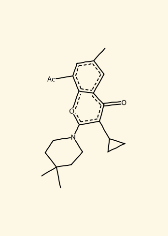 CC(=O)c1cc(C)cc2c(=O)c(C3CC3)c(N3CCC(C)(C)CC3)oc12